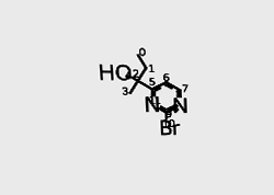 CCC(C)(O)c1ccnc(Br)n1